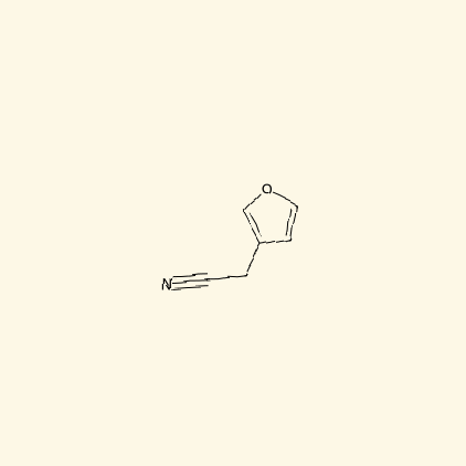 N#CCc1ccoc1